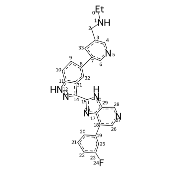 CCNCc1cncc(-c2ccc3[nH]nc(-c4nc5c(-c6cccc(F)c6)cncc5[nH]4)c3c2)c1